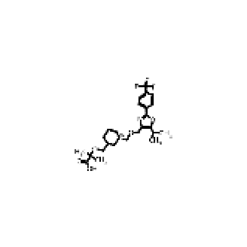 CC(C)c1oc(-c2ccc(C(F)(F)F)cc2)nc1COC[C@@H]1CCCC(COC(C)(C)C(=O)O)C1